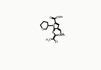 C/C=C1/C=C(C(=O)OC)N(C2CCCOC2)/C1=N/C(SC)=C(\C)CC